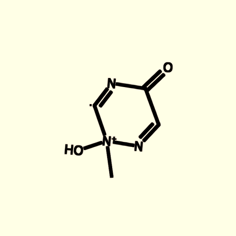 C[N+]1(O)[C]=NC(=O)C=N1